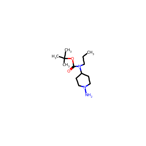 CCCN(C(=O)OC(C)(C)C)C1CCN(N)CC1